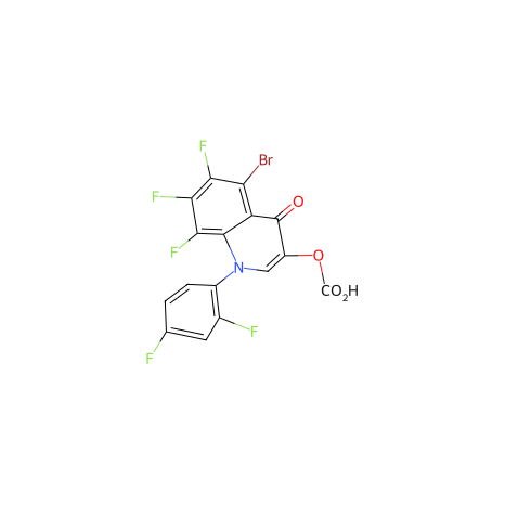 O=C(O)Oc1cn(-c2ccc(F)cc2F)c2c(F)c(F)c(F)c(Br)c2c1=O